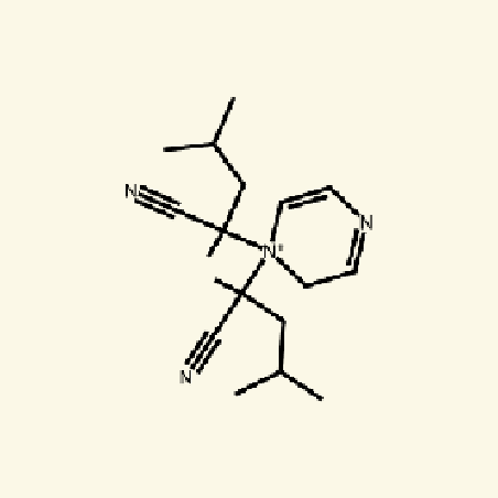 CC(C)CC(C)(C#N)[N+]1(C(C)(C#N)CC(C)C)C=CN=CC1